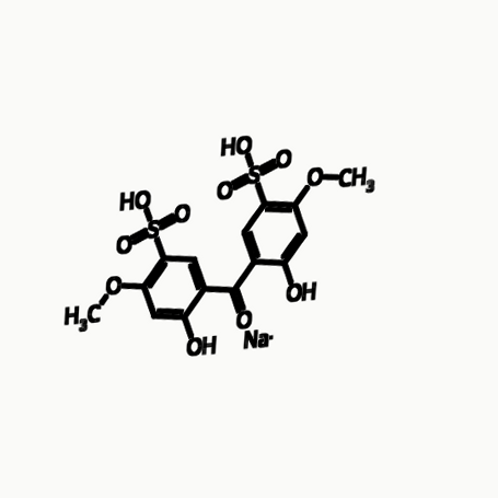 COc1cc(O)c(C(=O)c2cc(S(=O)(=O)O)c(OC)cc2O)cc1S(=O)(=O)O.[Na]